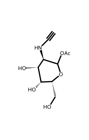 C#CN[C@H]1C(OC(C)=O)O[C@H](CO)[C@H](O)[C@@H]1O